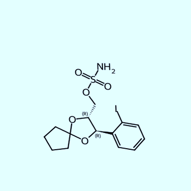 NS(=O)(=O)OC[C@H]1OC2(CCCC2)O[C@@H]1c1ccccc1I